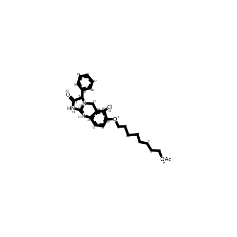 CC(=O)OCCCCCCCCOc1ccc2c(c1Cl)CN1C(=N2)NC(=O)C1c1ccccc1